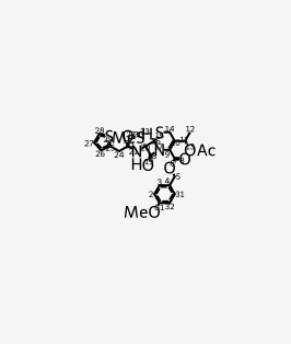 COc1ccc(COC(=O)C2=C(C(C)OC(C)=O)CS[C@H]3N2C(=O)[C@]3(NC(=O)Cc2cccs2)SC)cc1